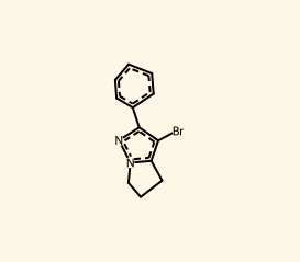 Brc1c(-c2ccccc2)nn2c1CCC2